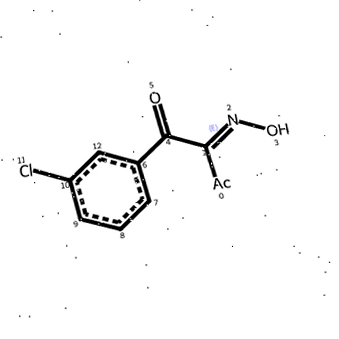 CC(=O)/C(=N\O)C(=O)c1cccc(Cl)c1